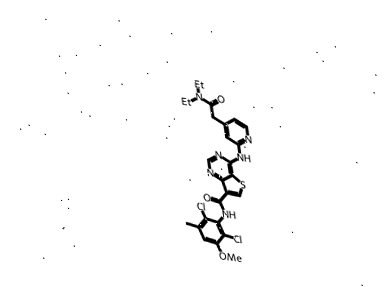 CCN(CC)C(=O)Cc1ccnc(Nc2ncnc3c(C(=O)Nc4c(Cl)c(C)cc(OC)c4Cl)csc23)c1